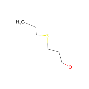 CCCSCCC[O]